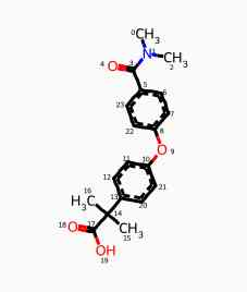 CN(C)C(=O)c1ccc(Oc2ccc(C(C)(C)C(=O)O)cc2)cc1